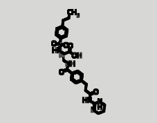 CCCc1ccc(S(=O)(=O)N[C@@H](CNC(=O)c2ccc(CCC(=O)NC3=NCCCN3)cc2)C(=O)O)cc1